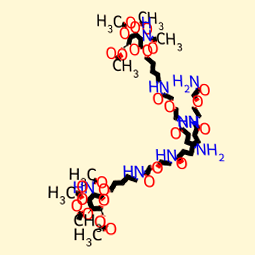 CC(=O)N[C@@H]1[C@H](OCCCCCNC(=O)COCCNC(=O)CCC(N)(CCC(=O)NCCOCC(N)=O)CCC(=O)NCCOCC(=O)NCCCCCO[C@@H]2O[C@H](COC(C)=O)[C@H](OC(C)=O)[C@H](OC(C)=O)[C@@H]2NC(C)=O)O[C@H](COC(C)=O)[C@H](OC(C)=O)[C@@H]1OC(C)=O